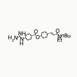 CCCCN(CC)C(=O)/C=C/c1ccc(OC(=O)c2ccc(NC(=N)N)cc2)cc1